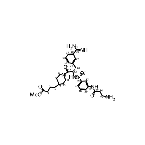 COC(=O)CCCC1CCN(C(=O)[C@H](Cc2cccc(C(=N)N)c2)N[S+]([O-])c2cccc(NC(=O)CCN)c2)CC1